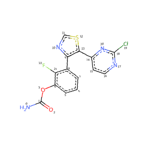 NC(=O)Oc1cccc(-c2ncsc2-c2ccnc(Cl)n2)c1F